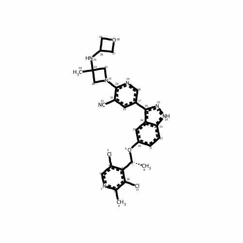 Cc1ncc(Cl)c([C@@H](C)Oc2ccc3[nH]nc(-c4cnc(N5CC(C)(NC6COC6)C5)c(C#N)c4)c3c2)c1Cl